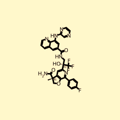 C[C@]1(C(N)=O)COc2c1cc([C@@](O)(CNC(=O)c1cc(Nc3cnccn3)c3ncccc3c1)C(F)(F)F)nc2-c1ccc(F)cc1